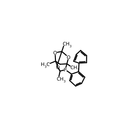 CC12CC3(C)OC(C)(CC(C)(O1)P3c1ccccc1-c1ccccc1)O2